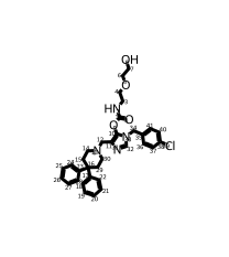 O=C(NCCOCCO)Oc1c(CN2CCC(c3ccccc3)(c3ccccc3)CC2)ncn1Cc1ccc(Cl)cc1